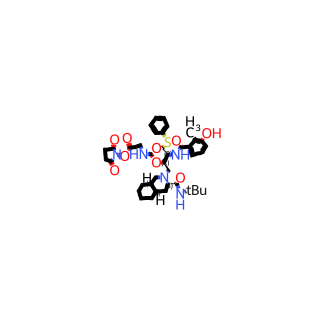 Cc1c(O)cccc1C(=O)N[C@@H](CSc1ccccc1)[C@@H](CN1C[C@H]2CCCC[C@H]2C[C@H]1C(=O)NC(C)(C)C)OC(=O)NCC(=O)ON1C(=O)CCC1=O